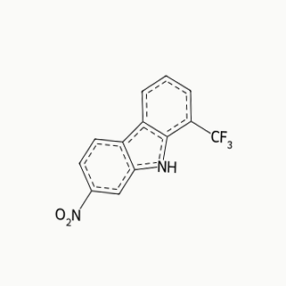 O=[N+]([O-])c1ccc2c(c1)[nH]c1c(C(F)(F)F)cccc12